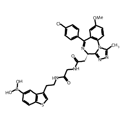 COc1ccc2c(c1)C(c1ccc(Cl)cc1)=N[C@@H](CC(=O)NCC(=O)NCCc1csc3ccc(B(O)O)cc13)c1nnc(C)n1-2